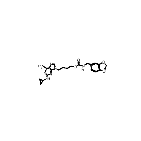 Nc1nc(NC2CC2)nc2c1ncn2CCCCOC(=O)NCc1ccc2c(c1)OCO2